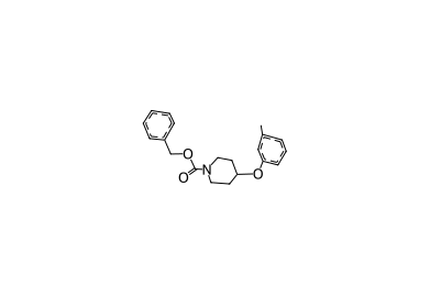 Cc1cccc(OC2CCN(C(=O)OCc3ccccc3)CC2)c1